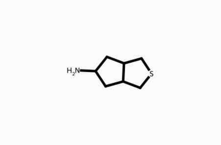 NC1CC2CSCC2C1